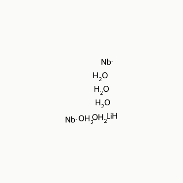 O.O.O.O.O.[LiH].[Nb].[Nb]